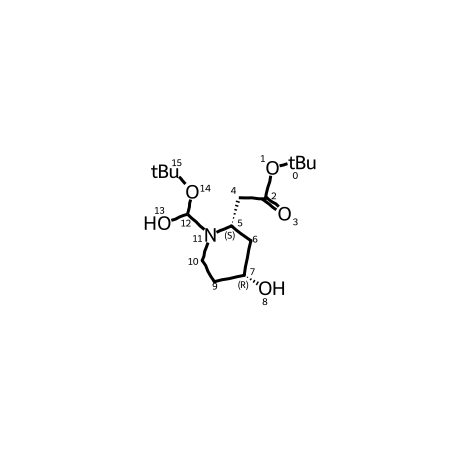 CC(C)(C)OC(=O)C[C@@H]1C[C@H](O)CCN1C(O)OC(C)(C)C